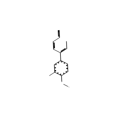 C=C/C=C\C(=C/C)c1ccc(OC(C)C)c(CC)c1